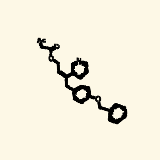 CC(=O)CC(=O)OCC=C(Cc1ccc(OCc2ccccc2)cc1)c1cccnc1